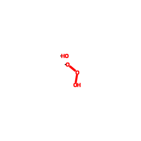 [OH].[O]OO